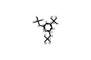 CC(C)(C)Cc1cc(C(C)(C)C)cc(CC(C)(C)C)n1